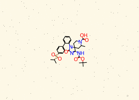 CC1CC2(CCN1C(=O)O)C(NC(=O)OC(C)(C)C)=NC(=O)N2c1ccccc1-c1ccc(S(=O)(=O)C(C)C)cc1